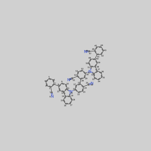 N#Cc1ccccc1-c1ccc2c(c1)c1ccccc1n2-c1ccc(C#N)c(-c2cc(-n3c4ccccc4c4cc(-c5ccccc5C#N)ccc43)ccc2C#N)c1